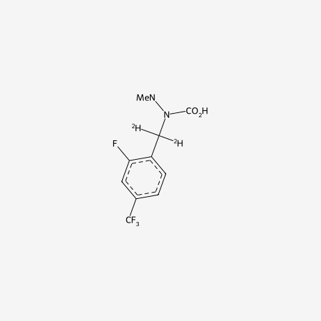 [2H]C([2H])(c1ccc(C(F)(F)F)cc1F)N(NC)C(=O)O